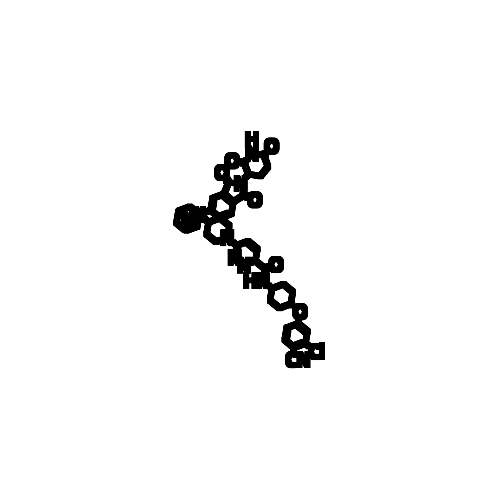 N#Cc1ccc(O[C@H]2CC[C@H](NC(=O)c3ccc(N4CCC(CN5C6CC5CN(c5ccc7c(c5)C(=O)N(C5CCC(=O)NC5=O)C7=O)C6)CC4)nn3)CC2)cc1Cl